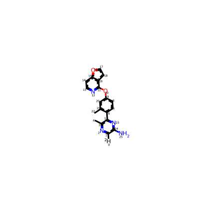 [2H]c1nc(C)c(-c2ccc(Oc3nccc4occc34)cc2C)nc1N